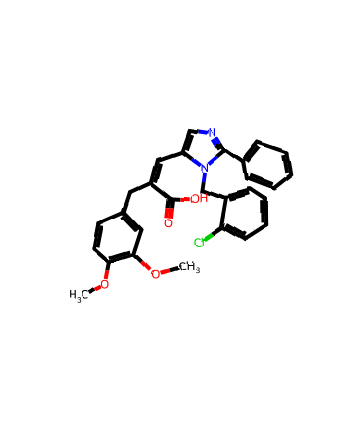 COc1ccc(CC(=Cc2cnc(-c3ccccc3)n2Cc2ccccc2Cl)C(=O)O)cc1OC